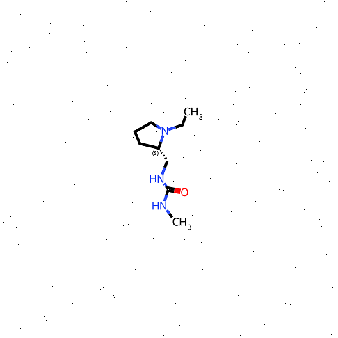 CCN1CCC[C@H]1CNC(=O)NC